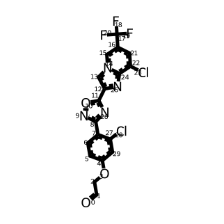 O=CCOc1ccc(-c2noc(-c3cn4cc(C(F)(F)F)cc(Cl)c4n3)n2)c(Cl)c1